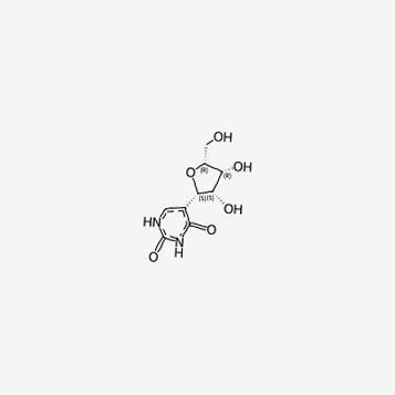 O=c1[nH]cc([C@@H]2O[C@H](CO)[C@H](O)[C@@H]2O)c(=O)[nH]1